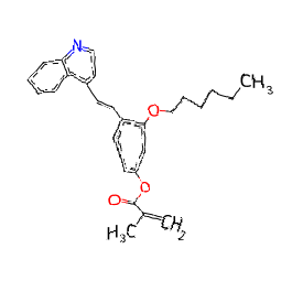 C=C(C)C(=O)Oc1ccc(/C=C/c2ccnc3ccccc23)c(OCCCCCC)c1